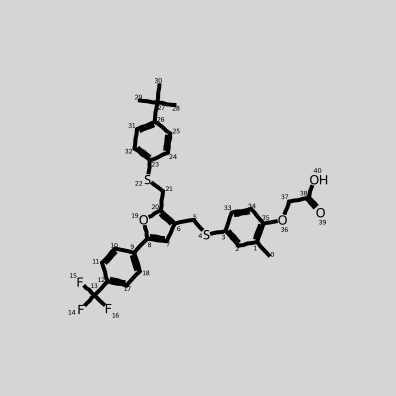 Cc1cc(SCc2cc(-c3ccc(C(F)(F)F)cc3)oc2CSc2ccc(C(C)(C)C)cc2)ccc1OCC(=O)O